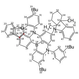 CC(C)(C)c1cccc(N2c3cc(C(C)(C)C)ccc3B3c4ccc5c(oc6ccccc65)c4N(c4ccc(C(C)(C)C)cc4-c4ccccc4)c4cc(N5c6ccccc6C6(C)CCCCC56C)cc2c43)c1